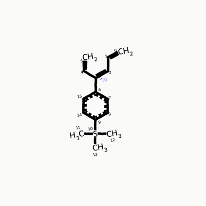 C=C/C=C(\C=C)c1ccc(S(C)(C)C)cc1